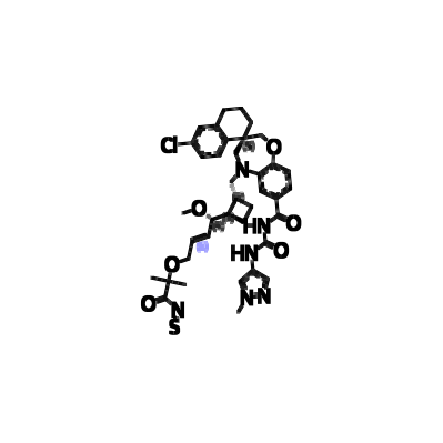 CO[C@@H](/C=C/COC(C)(C)C(=O)N=S)[C@@H]1CC[C@H]1CN1C[C@@]2(CCCc3cc(Cl)ccc32)COc2ccc(C(=O)NC(=O)Nc3cnn(C)c3)cc21